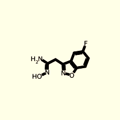 NC(Cc1noc2ccc(F)cc12)=NO